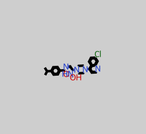 CC(C)c1ccc(C(=O)/N=C\C(NO)N2CCN(c3ccnc4cc(Cl)ccc34)CC2)cc1